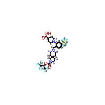 O=C(O)C1CCN(c2cc(S(F)(F)(F)(F)F)ccc2CN2CCC3(CC2)CCN(C(=O)OC(C(F)(F)F)C(F)(F)F)C3)CC1